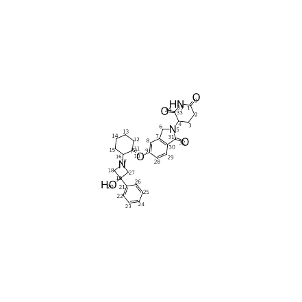 O=C1CCC(N2Cc3cc(O[C@H]4CCCCC4N4CC(O)(c5ccccc5)C4)ccc3C2=O)C(=O)N1